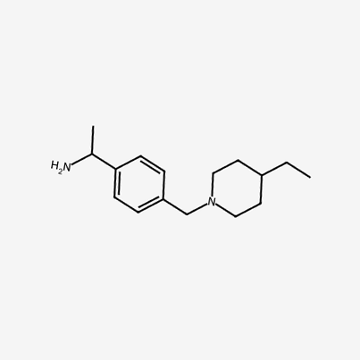 CCC1CCN(Cc2ccc(C(C)N)cc2)CC1